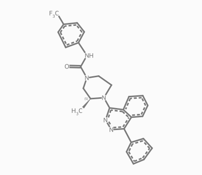 C[C@H]1CN(C(=O)Nc2ccc(C(F)(F)F)cc2)CCN1c1nnc(-c2ccccc2)c2ccccc12